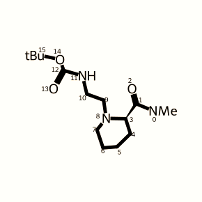 CNC(=O)[C@H]1CCCCN1CCNC(=O)OC(C)(C)C